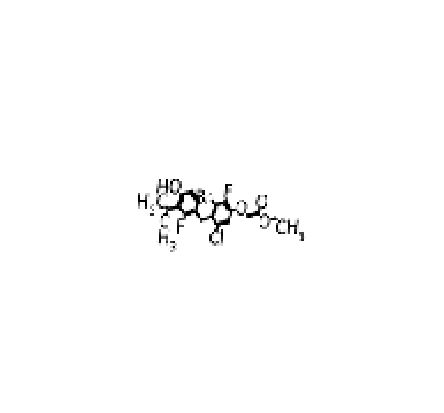 CCOC(=O)COc1cc(Cl)c(Cc2ccc(O)c(C(C)C)c2F)c(Br)c1F